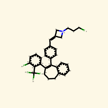 FCCCN1CC(=Cc2ccc(C3=C(c4cccc(F)c4C(F)(F)F)CCCc4ccccc43)cc2)C1